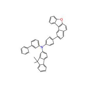 CC1(C)c2ccccc2-c2ccc(N(c3ccc(-c4ccc5ccc6oc7ccccc7c6c5c4)cc3)c3cccc(-c4ccccc4)c3)cc21